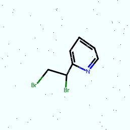 BrCC(Br)c1ccccn1